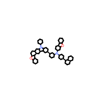 c1ccc(-n2c3ccc(-c4cccc(N(c5ccc(-c6cccc7ccccc67)cc5)c5ccc6c(c5)oc5ccccc56)c4)cc3c3cc4c(ccc5oc6ccccc6c54)cc32)cc1